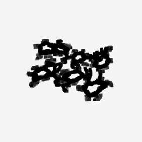 Cc1ccccc1Nc1ccc(C(=S)c2csc3ccccc23)c(Cl)c1.Cc1ccccc1Nc1ccc(C(=S)c2occ3ccccc23)c(Cl)c1